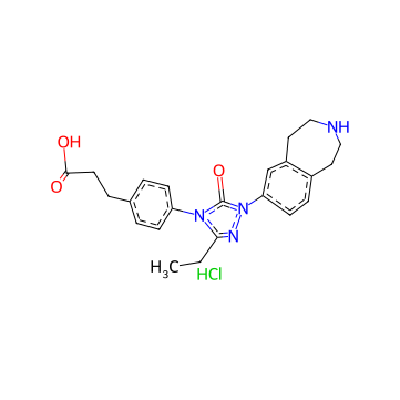 CCc1nn(-c2ccc3c(c2)CCNCC3)c(=O)n1-c1ccc(CCC(=O)O)cc1.Cl